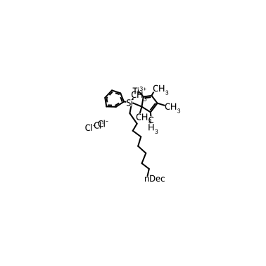 CCCCCCCCCCCCCCCCCC[Si](C)(c1ccccc1)C1(C)C(C)=C(C)C(C)=[C]1[Ti+3].[Cl-].[Cl-].[Cl-]